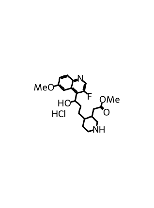 COC(=O)CC1CNCCC1CCC(O)c1c(F)cnc2ccc(OC)cc12.Cl